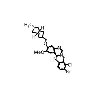 COc1cc2c(Nc3ccc(Br)c(Cl)c3F)ncnc2cc1OCC1C[C@@H]2CN(C)C[C@@H]2C1